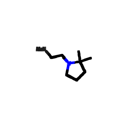 CNCCN1CCCC1(C)C